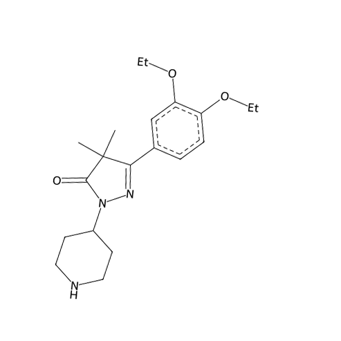 CCOc1ccc(C2=NN(C3CCNCC3)C(=O)C2(C)C)cc1OCC